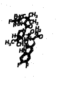 CC(C)(C)[C@H](NC(=O)C(F)(F)F)C(=O)N1C[C@H]2[C@@H]([C@H]1C(=O)N[C@@H](Cc1cc3cc(F)c(F)cc3[nH]c1=O)C(N)=O)C2(C)C